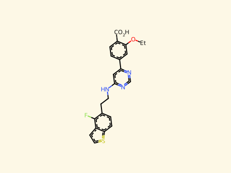 CCOc1cc(-c2cc(NCCc3ccc4sccc4c3F)ncn2)ccc1C(=O)O